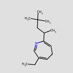 CCC1=CCC=C(C(C)CC(C)(C)C)N=C1